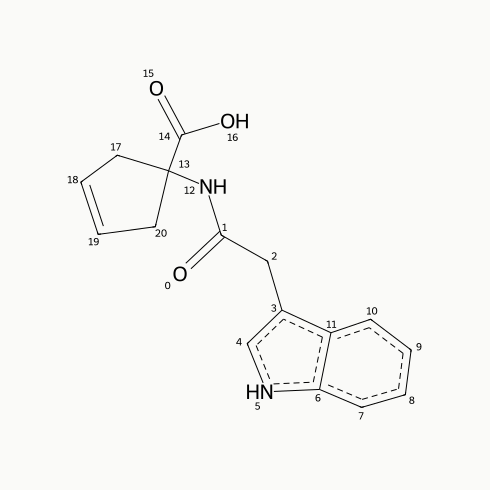 O=C(Cc1c[nH]c2ccccc12)NC1(C(=O)O)CC=CC1